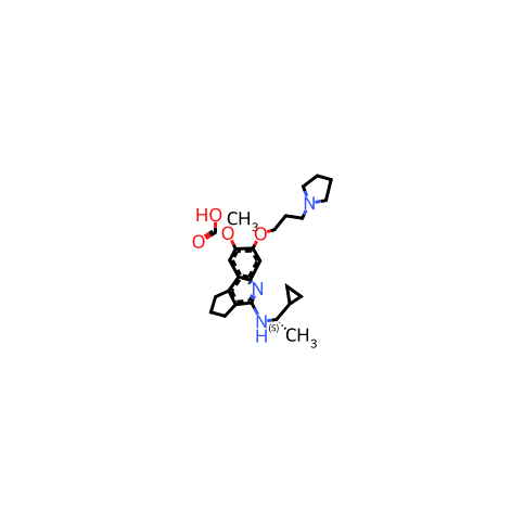 COc1cc2c3c(c(N[C@@H](C)C4CC4)nc2cc1OCCCN1CCCC1)CCC3.O=CO